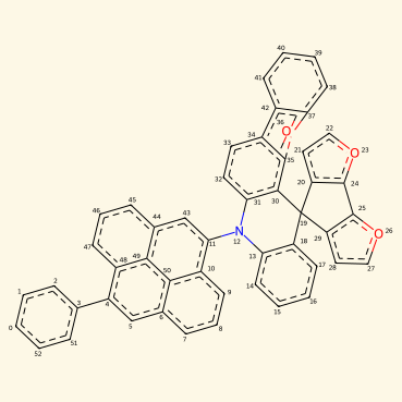 c1ccc(-c2cc3cccc4c(N5c6ccccc6C6(c7ccoc7-c7occc76)c6c5ccc5c6oc6ccccc65)cc5cccc2c5c34)cc1